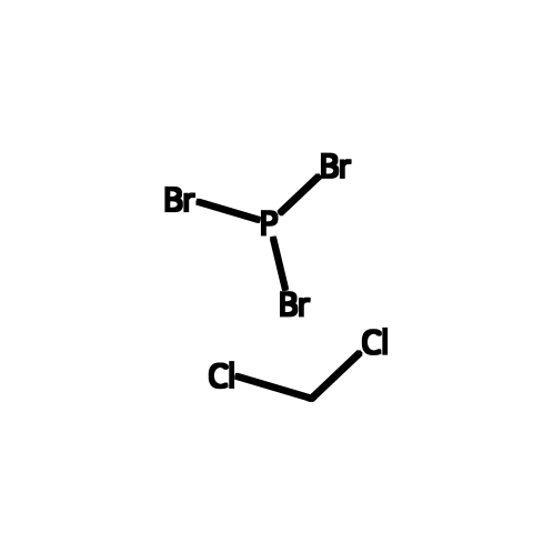 BrP(Br)Br.ClCCl